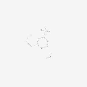 CC(=O)Oc1cc2c(c(S(=O)(=O)O)c1)OCC=C2